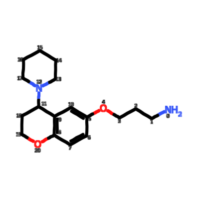 NCCCOc1ccc2c(c1)C(N1CCCCC1)CCO2